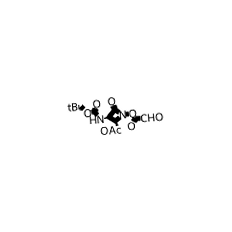 CC(=O)O[C@H]1[C@H](NC(=O)OC(C)(C)C)C(=O)N1OC(=O)C=O